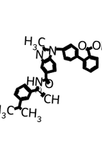 C#C[C@H](NC(=O)c1ccc2c(c1)nc(C)n2Cc1ccc(-c2ccccc2C(=O)O)cc1)c1cccc(C(C)C)c1